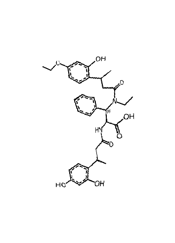 CCOc1ccc(C(C)CC(=O)N(CC)[C@H](c2ccccc2)C(NC(=O)CC(C)c2ccc(O)cc2O)C(=O)O)c(O)c1